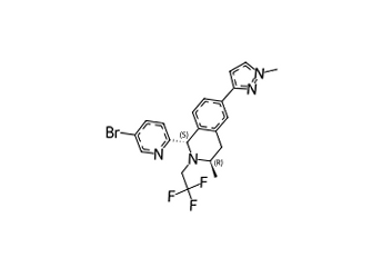 C[C@@H]1Cc2cc(-c3ccn(C)n3)ccc2[C@@H](c2ccc(Br)cn2)N1CC(F)(F)F